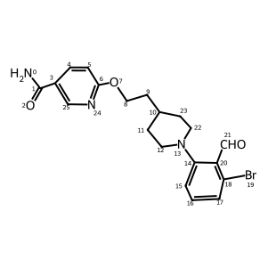 NC(=O)c1ccc(OCCC2CCN(c3cccc(Br)c3C=O)CC2)nc1